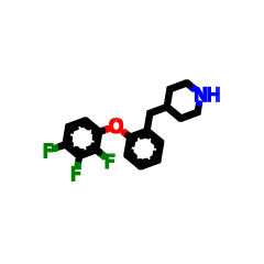 Fc1ccc(Oc2ccccc2CC2CCNCC2)c(F)c1F